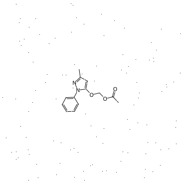 CC(=O)OCOc1cc(C)nn1-c1ccccc1